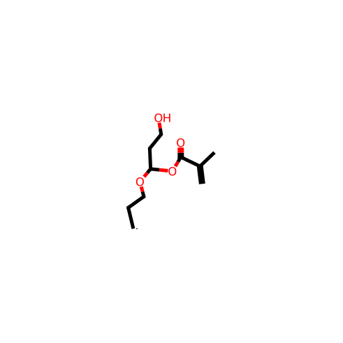 [CH2]CCOC(CCO)OC(=O)C(=C)C